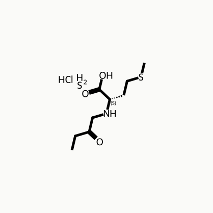 CCC(=O)CN[C@@H](CCSC)C(=O)O.Cl.S